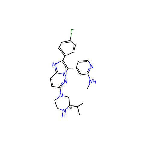 CNc1cc(-c2c(-c3ccc(F)cc3)nc3ccc(N4CCN[C@H](C(C)C)C4)nn23)ccn1